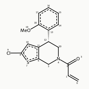 C=CC(=O)N1Cc2sc(Cl)cc2[C@H](c2ccccc2OC)C1